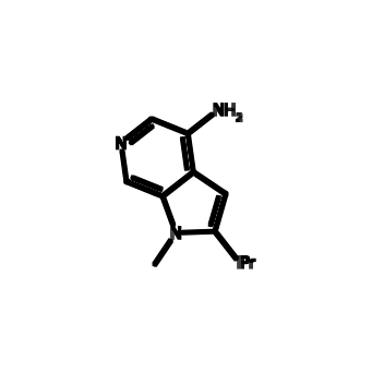 CC(C)c1cc2c(N)cncc2n1C